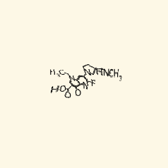 CCn1cc(C(=O)O)c(=O)c2nc(F)c(N3CCC(CNC)C3)cc21